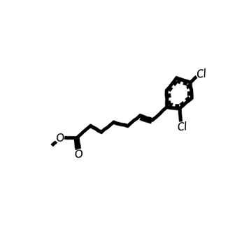 COC(=O)CCCCC=Cc1ccc(Cl)cc1Cl